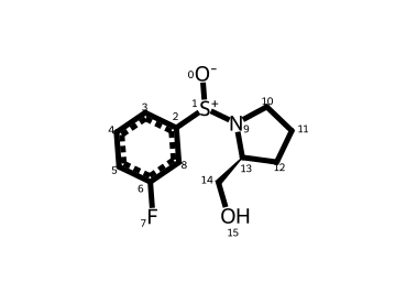 [O-][S+](c1cccc(F)c1)N1CCC[C@H]1CO